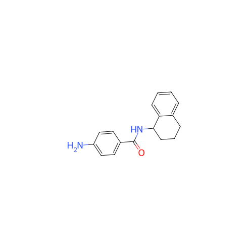 Nc1ccc(C(=O)NC2CCCc3ccccc32)cc1